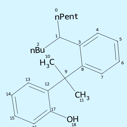 CCCCCC(CCCC)c1ccccc1C(C)(C)c1ccccc1O